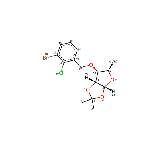 CC(=O)[C@H]1O[C@@H]2OC(C)(C)O[C@@H]2[C@H]1OCc1cccc(Br)c1Cl